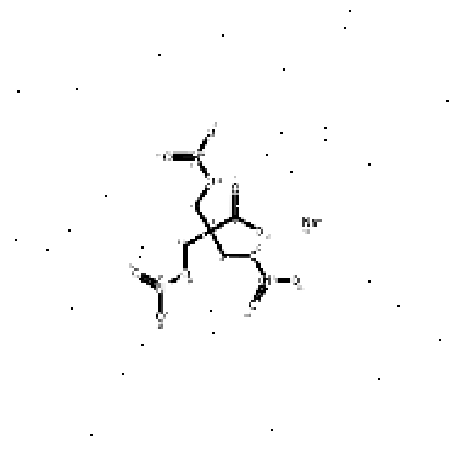 O=C([O-])C(CO[N+](=O)[O-])(CO[N+](=O)[O-])CO[N+](=O)[O-].[Na+]